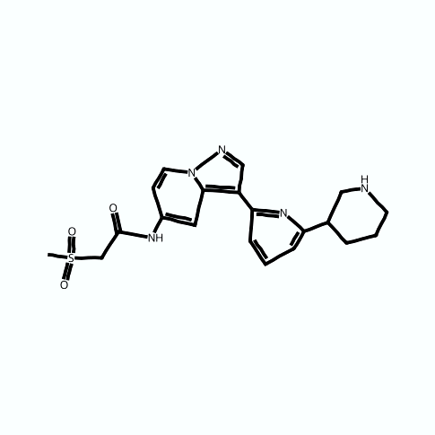 CS(=O)(=O)CC(=O)Nc1ccn2ncc(-c3cccc(C4CCCNC4)n3)c2c1